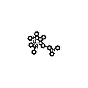 O=c1c2c(c3ccccc3c3c4cc(-c5ccc6c(c5)c5ccccc5n6-c5ccccc5)ccc4n(-c4nc(-c5ccccc5)c5ccccc5n4)c23)c2ccccc2n1-c1ccccc1